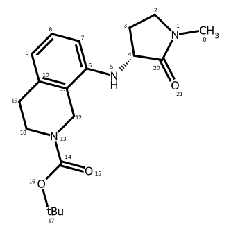 CN1CC[C@@H](Nc2cccc3c2CN(C(=O)OC(C)(C)C)CC3)C1=O